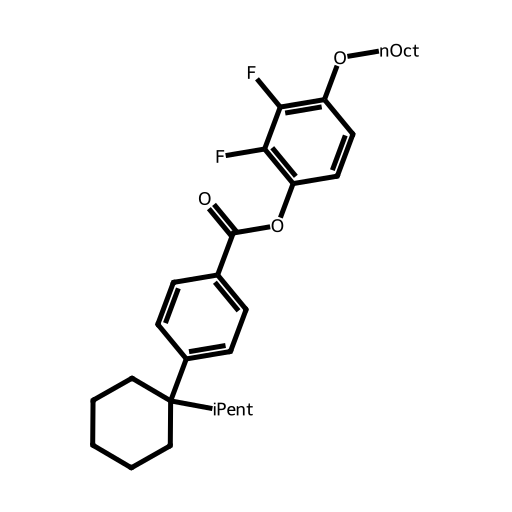 CCCCCCCCOc1ccc(OC(=O)c2ccc(C3(C(C)CCC)CCCCC3)cc2)c(F)c1F